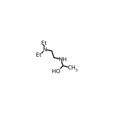 CCN(CC)CCNC(C)O